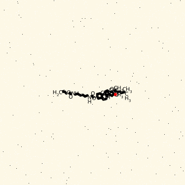 C=CCOC(=O)NCCCCCCNC(=O)O[C@H]1CC[C@@]2(C)C(=CC[C@@H]3C2CC[C@@]2(C)[C@H]3C[C@H](C)[C@]2(O)[C@H](C)C(=O)CCC(C)C)C1